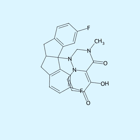 CN1CN(C23c4cc(F)ccc4CC2Cc2ccc(F)cc23)n2ccc(=O)c(O)c2C1=O